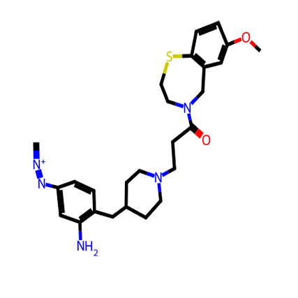 C=[N+]=Nc1ccc(CC2CCN(CCC(=O)N3CCSc4ccc(OC)cc4C3)CC2)c(N)c1